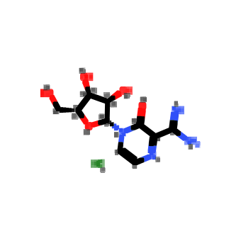 Cl.N=C(N)c1nccn([C@@H]2O[C@H](CO)[C@@H](O)[C@H]2O)c1=O